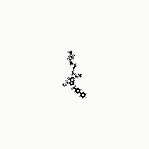 CC(C)(C)OC(=O)N[C@@H](CCCOC/C=C\[C@@H]1C[C@@H]1C(=O)NS(=O)(=O)C1CC1)C(=O)N1C[C@H](OC(=O)c2ccc(-c3ccccc3)cc2)C[C@H]1C(N)=O